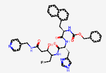 CC(C)CC(NC(=O)[C@@H](Cc1c[nH]cn1)NC(=O)[C@@H](Cc1cccc2ccccc12)NC(=O)OCc1ccccc1)C(O)CC(=O)NCc1ccncc1